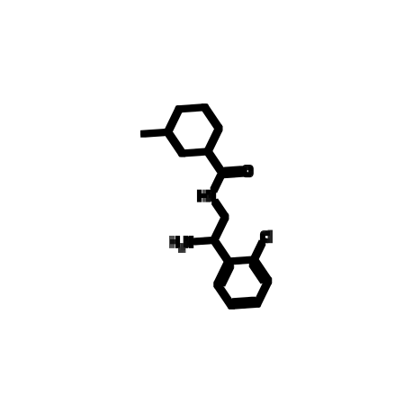 CC1CCCC(C(=O)NCC(N)c2ccccc2Cl)C1